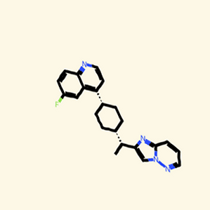 CC(c1cn2ncccc2n1)[C@H]1CC[C@@H](c2ccnc3ccc(F)cc32)CC1